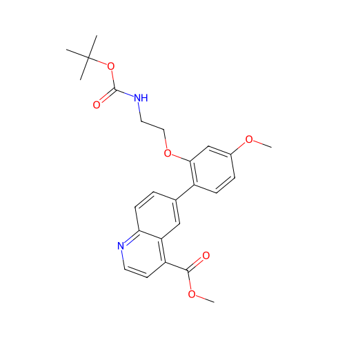 COC(=O)c1ccnc2ccc(-c3ccc(OC)cc3OCCNC(=O)OC(C)(C)C)cc12